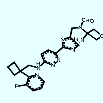 NC1(N(C=O)Cc2cnc(-c3ccc(NCC4(c5ncccc5F)CCC4)nn3)s2)COC1